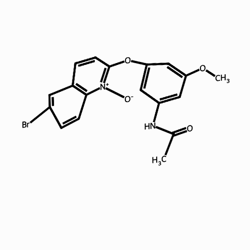 COc1cc(NC(C)=O)cc(Oc2ccc3cc(Br)ccc3[n+]2[O-])c1